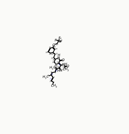 CC/C=C/C(C)=C\C=C(/C)C(=N)/C(NC(C)=O)=C1\NCC(CCC2C=C(OCC(F)(F)F)C=CC2)NC1=O